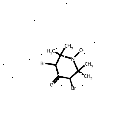 CC1(C)C(Br)C(=O)C(Br)C(C)(C)N1[O]